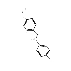 CC(=O)c1ccc(NCc2ccc(OC(F)(F)F)cc2)cc1